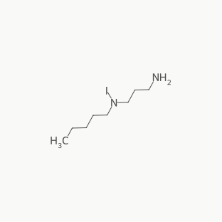 CCCCCN(I)CCCN